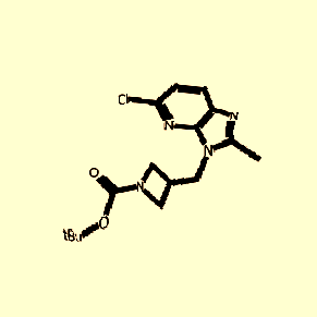 Cc1nc2ccc(Cl)nc2n1CC1CN(C(=O)OC(C)(C)C)C1